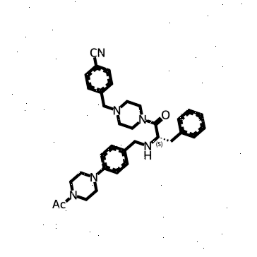 CC(=O)N1CCN(c2ccc(CN[C@@H](Cc3ccccc3)C(=O)N3CCN(Cc4ccc(C#N)cc4)CC3)cc2)CC1